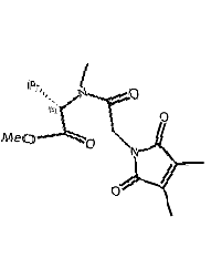 COC(=O)[C@H](C(C)C)N(C)C(=O)CN1C(=O)C(C)=C(C)C1=O